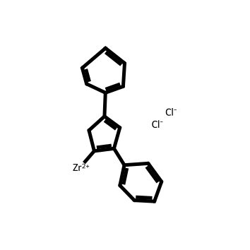 [Cl-].[Cl-].[Zr+2][C]1=C(c2ccccc2)C=C(c2ccccc2)C1